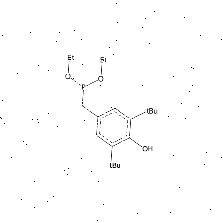 CCOP(Cc1cc(C(C)(C)C)c(O)c(C(C)(C)C)c1)OCC